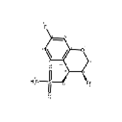 CC[C@@H]1COc2cc(F)ccc2[C@@H]1CS(N)(=O)=O